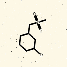 CCC1CCCC(CS(C)(=O)=O)C1